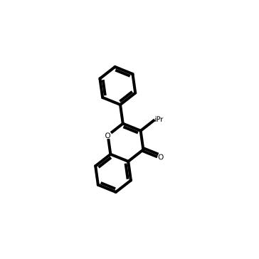 CC(C)c1c(-c2ccccc2)oc2ccccc2c1=O